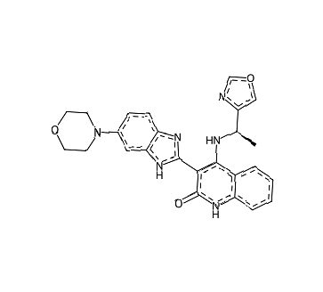 C[C@@H](Nc1c(-c2nc3ccc(N4CCOCC4)cc3[nH]2)c(=O)[nH]c2ccccc12)c1cocn1